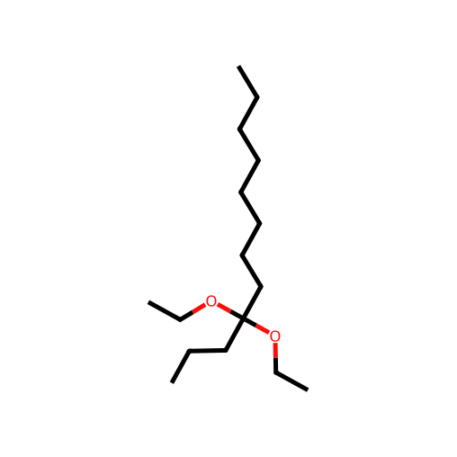 CCCCCCCCC(CCC)(OCC)OCC